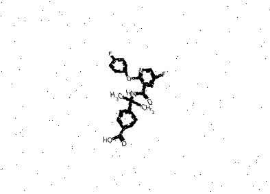 CC(C)(NC(=O)c1cc(F)cnc1Oc1ccc(F)cc1)c1ccc(C(=O)O)cc1